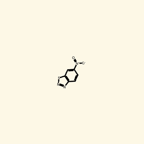 O=[N+]([O-])c1ccc2nnsc2c1